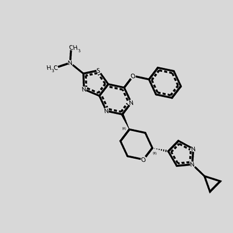 CN(C)c1nc2nc([C@@H]3CCO[C@@H](c4cnn(C5CC5)c4)C3)nc(Oc3ccccc3)c2s1